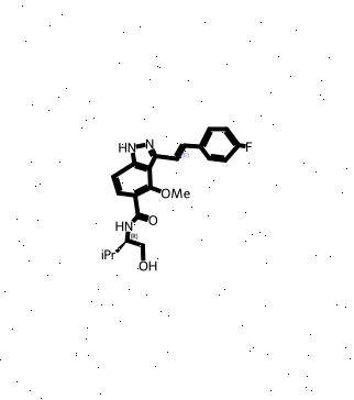 COc1c(C(=O)N[C@@H](CO)C(C)C)ccc2[nH]nc(/C=C/c3ccc(F)cc3)c12